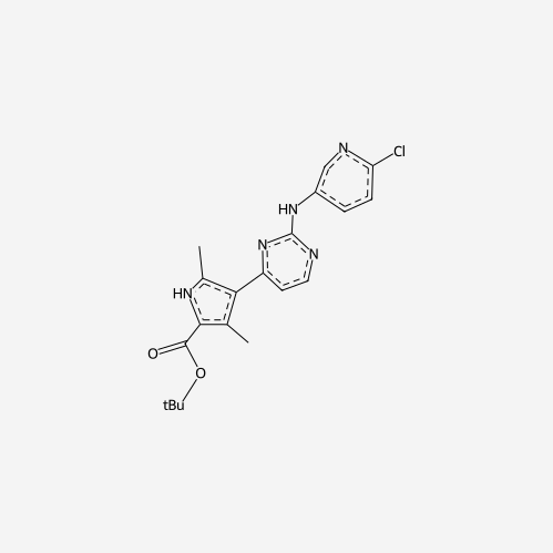 Cc1[nH]c(C(=O)OC(C)(C)C)c(C)c1-c1ccnc(Nc2ccc(Cl)nc2)n1